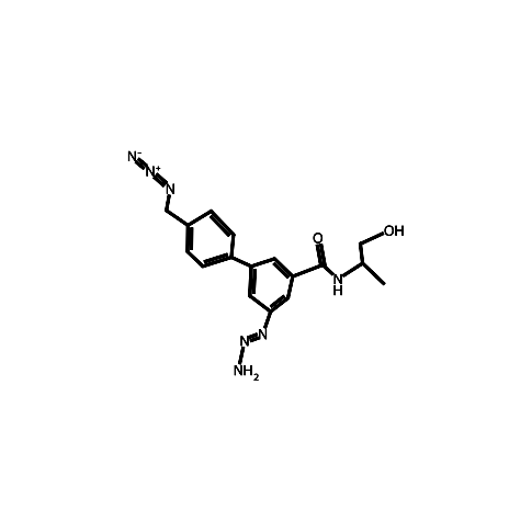 CC(CO)NC(=O)c1cc(N=NN)cc(-c2ccc(CN=[N+]=[N-])cc2)c1